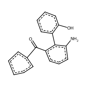 Nc1cccc(C(=O)c2ccccc2)c1-c1ccccc1O